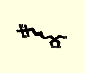 CC(O)(O)C(C)(C)CCCCCC(CO)(CO)CO